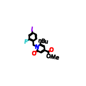 CCCCc1cc(C(=O)OC)cc(=O)n1Cc1ccc(I)cc1F